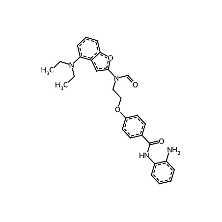 CCN(CC)c1cccc2oc(N(C=O)CCOc3ccc(C(=O)Nc4ccccc4N)cc3)cc12